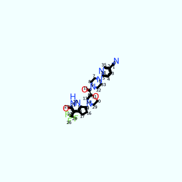 N#Cc1ccc(N2CCN(C(=O)[C@@H]3CN([C@H]4CCc5c4n[nH]c(=O)c5C(F)(F)F)CCO3)CC2)nc1